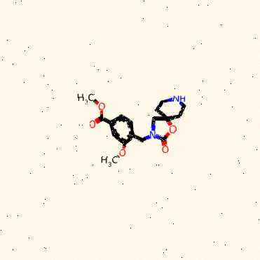 COC(=O)c1ccc(CN2CC3(CCNCC3)OC2=O)c(OC)c1